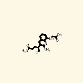 Cc1nc2c(NCC(=O)O)cccc2cc1C(C=O)CCC(N)=O